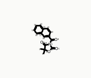 CC1(C)OC(=O)N(C(=O)c2ccc3ccccc3c2)C1=O